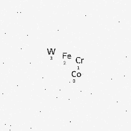 [Co].[Cr].[Fe].[W]